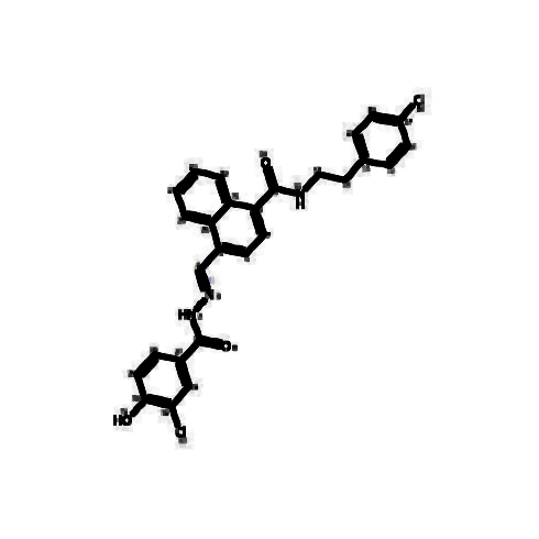 O=C(N/N=C/c1ccc(C(=O)NCCc2ccc(Cl)cc2)c2ccccc12)c1ccc(O)c(Cl)c1